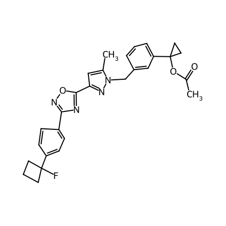 CC(=O)OC1(c2cccc(Cn3nc(-c4nc(-c5ccc(C6(F)CCC6)cc5)no4)cc3C)c2)CC1